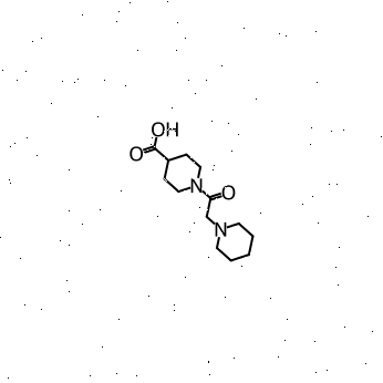 O=C(O)C1CCN(C(=O)CN2CCCCC2)CC1